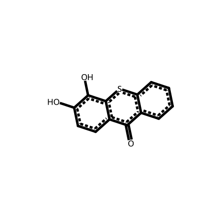 O=c1c2ccccc2sc2c(O)c(O)ccc12